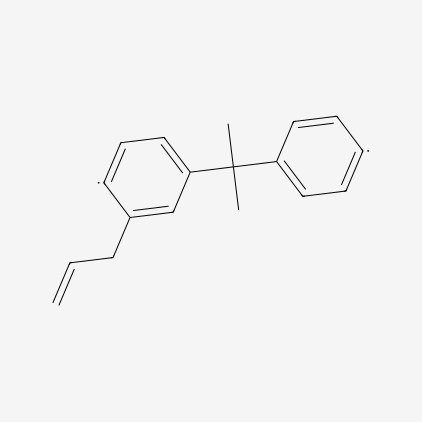 C=CCc1[c]ccc(C(C)(C)c2cc[c]cc2)c1